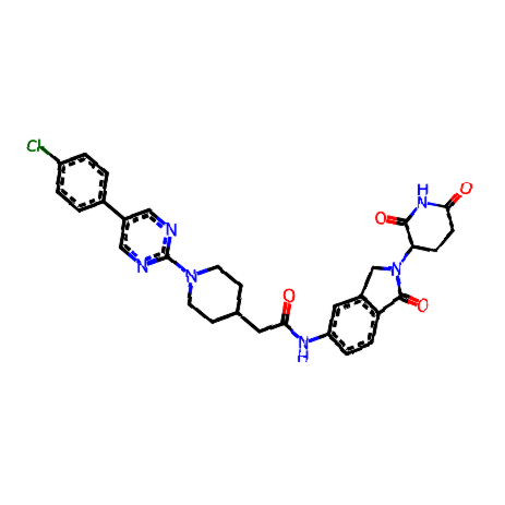 O=C1CCC(N2Cc3cc(NC(=O)CC4CCN(c5ncc(-c6ccc(Cl)cc6)cn5)CC4)ccc3C2=O)C(=O)N1